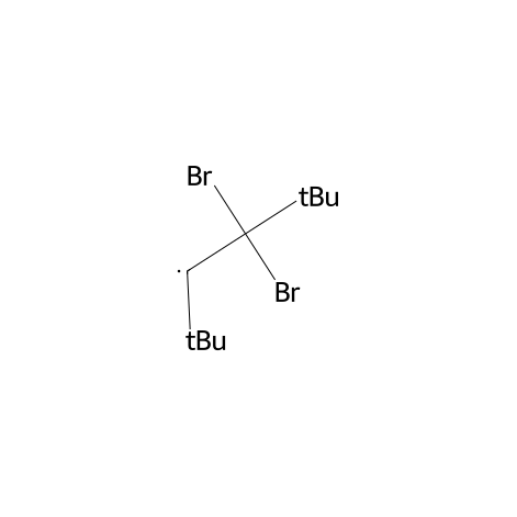 CC(C)(C)[CH]C(Br)(Br)C(C)(C)C